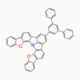 c1ccc(-c2cc(-c3ccccc3)cc(-c3cc4c5ccc6c7ccccc7oc6c5n5c4c(c3)c3ccc4c6ccccc6oc4c35)c2)cc1